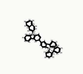 C1=CC(c2ccc3c(c2)c2ccccc2n3-c2ccccc2-c2ccccc2)Cc2c1n(-c1ccc3ccccc3c1)c1ccccc21